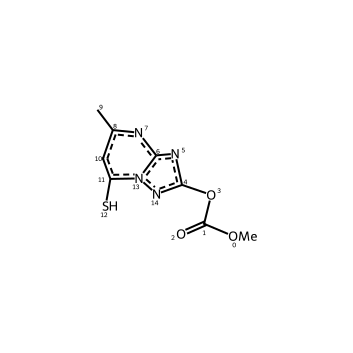 COC(=O)Oc1nc2nc(C)cc(S)n2n1